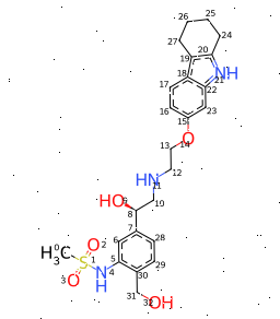 CS(=O)(=O)Nc1cc([C@@H](O)CNCCOc2ccc3c4c([nH]c3c2)CCCC4)ccc1CO